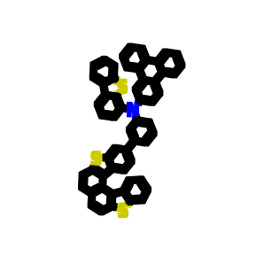 c1cc(-c2ccc3c(c2)sc2ccc4ccc5sc6ccccc6c5c4c23)cc(N(c2ccc3c4ccccc4c4ccccc4c3c2)c2cccc3c2sc2ccccc23)c1